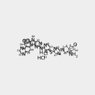 C[C@@H]1C(=O)CC2(CCN(c3cnc(Sc4ccnc(Nc5ncc6c(n5)n(-c5ccc7nccnc7c5P(C)(C)=O)c(=O)n6C)c4Cl)cn3)CC2)[C@H]1N.Cl